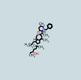 CCCC1[C@@H]2CC[C@@]3(CC(C)=C2C[C@@H]1C(C)(C)CC[C@H](O)CC)OC1C[C@H](C)CN(Cc2ccccc2)[C@H]1[C@H]3C